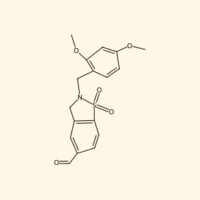 COc1ccc(CN2Cc3cc(C=O)ccc3S2(=O)=O)c(OC)c1